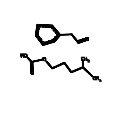 CC(C)CCCOC(=O)O.O=CCc1ccccc1